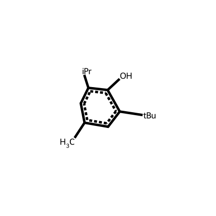 Cc1cc(C(C)C)c(O)c(C(C)(C)C)c1